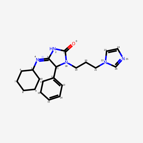 O=C1N/C(=N/C2CCCCC2)C(C2=CC=CCC2)N1CCCn1ccnc1